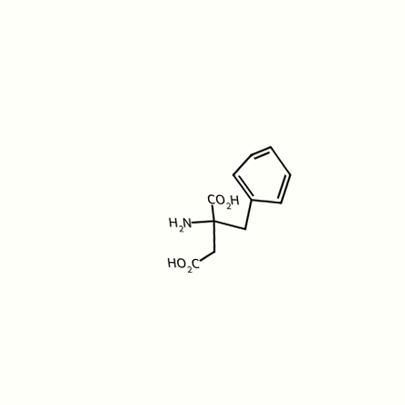 NC(CC(=O)O)(Cc1ccccc1)C(=O)O